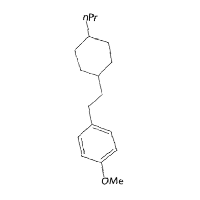 CCCC1CCC(CCc2ccc(OC)cc2)CC1